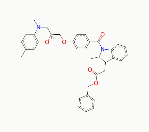 Cc1ccc2c(c1)O[C@H](COc1ccc(C(=O)N3c4ccccc4C(CC(=O)OCc4ccccc4)C3C)cc1)CN2C